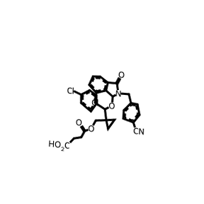 N#Cc1ccc(CN2C(=O)c3cccc(Cl)c3C2OC(c2ccc(Cl)cc2)C2(COC(=O)CCC(=O)O)CC2)cc1